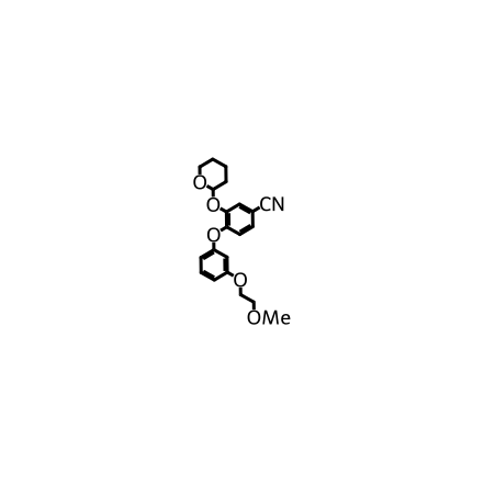 COCCOc1cccc(Oc2ccc(C#N)cc2OC2CCCCO2)c1